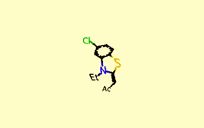 CCN1C(=CC(C)=O)Sc2ccc(Cl)cc21